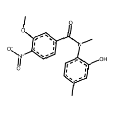 COc1cc(C(=O)N(C)c2ccc(C)cc2O)ccc1[N+](=O)[O-]